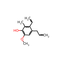 C=CCc1cc(OC)c(O)c(C)c1C=C